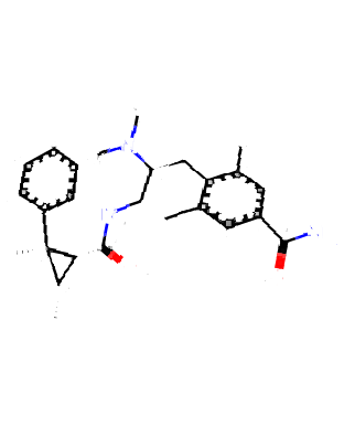 Cc1cc(C(N)=O)cc(C)c1C[C@@H](CNC(=O)[C@@H]1[C@H](C)[C@@]1(C)c1ccccc1)N(C)C